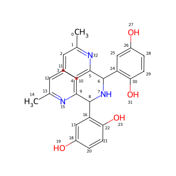 Cc1cccc(C(NC(c2cccc(C)n2)c2cc(O)ccc2O)c2cc(O)ccc2O)n1